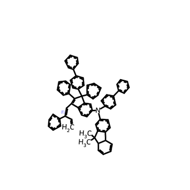 C=C/C(=C\C1=C(c2ccccc2)C(c2ccccc2)(c2ccc(-c3ccccc3)cc2)c2cc(N(c3ccc(-c4ccccc4)cc3)c3ccc4c(c3)C(C)(C)C3C=CC=CC43)ccc21)c1ccccc1